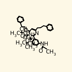 CCC(=O)Nc1cccc(C2=NC(CCCc3ccccc3)=CC(OCCc3ccccc3)[N+]2(C(=O)OC(C)(C)C)C(=O)OC(C)(C)C)c1